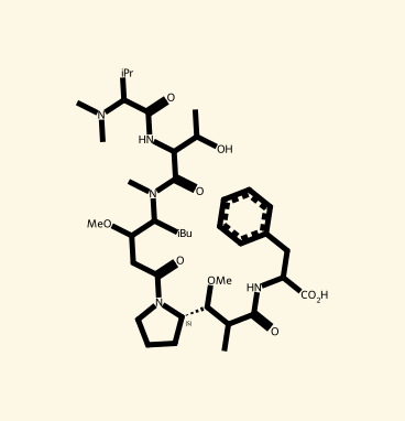 CCC(C)C(C(CC(=O)N1CCC[C@H]1C(OC)C(C)C(=O)NC(Cc1ccccc1)C(=O)O)OC)N(C)C(=O)C(NC(=O)C(C(C)C)N(C)C)C(C)O